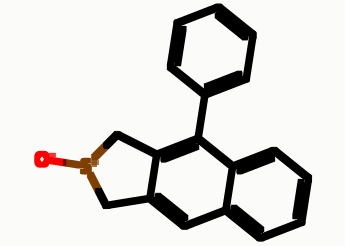 [O-][S+]1Cc2cc3ccccc3c(-c3ccccc3)c2C1